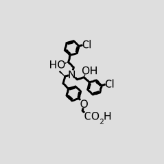 C[C@H](Cc1ccc(OCC(=O)O)cc1)N(C[C@H](O)c1cccc(Cl)c1)C[C@H](O)c1cccc(Cl)c1